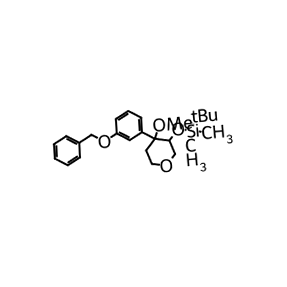 COC1(c2cccc(OCc3ccccc3)c2)CCOCC1O[Si](C)(C)C(C)(C)C